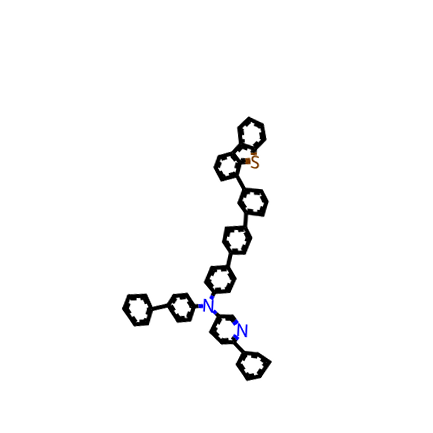 c1ccc(-c2ccc(N(c3ccc(-c4ccc(-c5cccc(-c6cccc7c6sc6ccccc67)c5)cc4)cc3)c3ccc(-c4ccccc4)nc3)cc2)cc1